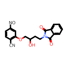 N#Cc1ccc(N=O)cc1OCC(O)CCN1C(=O)c2ccccc2C1=O